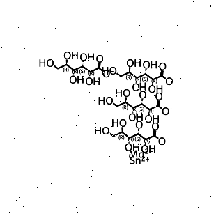 O=C([O-])[C@H](O)[C@@H](O)[C@H](O)[C@H](O)CO.O=C([O-])[C@H](O)[C@@H](O)[C@H](O)[C@H](O)CO.O=C([O-])[C@H](O)[C@@H](O)[C@H](O)[C@H](O)CO.O=C([O-])[C@H](O)[C@@H](O)[C@H](O)[C@H](O)CO.[Mg+2].[Sn+2]